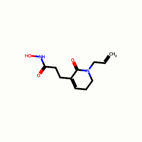 C=CCN1CCC=C(CCC(=O)NO)C1=O